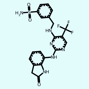 NS(=O)(=O)c1cccc(CNc2nc(Nc3cccc4c3NC(=O)C4)ncc2C(F)(F)F)c1